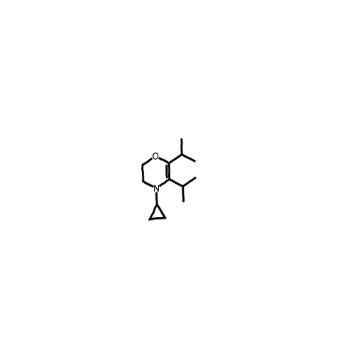 CC(C)C1=C(C(C)C)N(C2CC2)CCO1